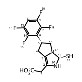 O=C(O)CC1=C2C[C@H](c3c(F)c(F)cc(F)c3F)CN2[C@H](S)N1